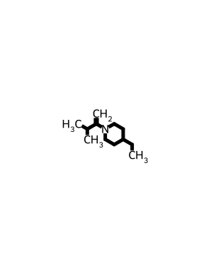 C=C(C(C)C)N1CCC(CC)CC1